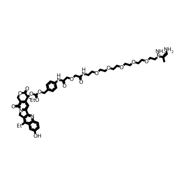 CCc1c2c(nc3ccc(O)cc13)-c1cc3c(c(=O)n1C2)COC(=O)[C@@]3(CC)OC(=O)OCc1ccc(NC(=O)COCC(=O)NCCOCCOCCOCCOCCOCCN(N)/C(C)=C\N)cc1